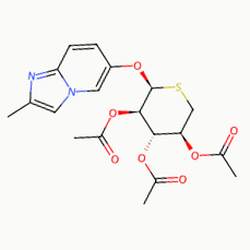 CC(=O)O[C@@H]1[C@@H](OC(C)=O)[C@@H](Oc2ccc3nc(C)cn3c2)SC[C@H]1OC(C)=O